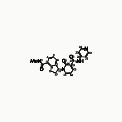 CNC(=O)c1cccc2c1CCC2n1cccc(C(=O)Nc2ccncc2)c1=O